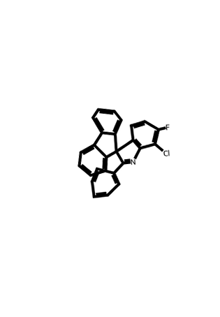 Fc1ccc2c(c1Cl)N=C(c1ccccc1)C21c2ccccc2-c2ccccc21